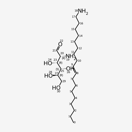 CCCCCCCCC=CCCCCCCCCN.N[C@@H](C=O)[C@@H](O)[C@H](O)[C@H](O)CO